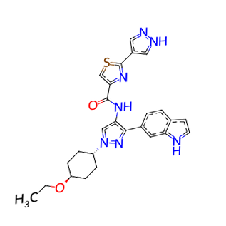 CCO[C@H]1CC[C@H](n2cc(NC(=O)c3csc(-c4cn[nH]c4)n3)c(-c3ccc4cc[nH]c4c3)n2)CC1